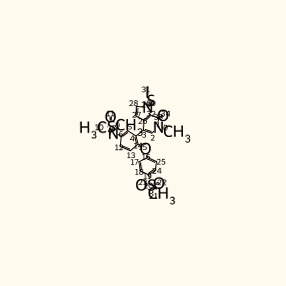 Cn1cc(-c2cc(N=S(C)(C)=O)ccc2Oc2ccc(S(C)(=O)=O)cc2)c2ccn(SI)c2c1=O